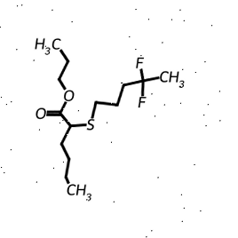 CCCCC(SCCCC(C)(F)F)C(=O)OCCC